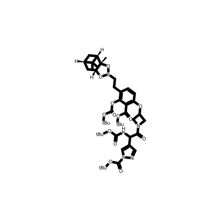 CC(C)(C)OC(=O)NC(C(=O)N1CC(Oc2ccc(CCB3O[C@@H]4C[C@@H]5C[C@@H](C5(C)C)[C@]4(C)O3)c(OC(=O)OC(C)(C)C)c2C(=O)OC(C)(C)C)C1)c1cnn(C(=O)OC(C)(C)C)c1